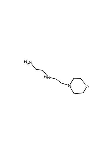 NCCNCCN1CCOCC1